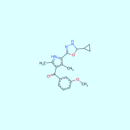 COc1cccc(C(=O)c2c(C)[nH]c(C3=NNC(C4CC4)O3)c2C)c1